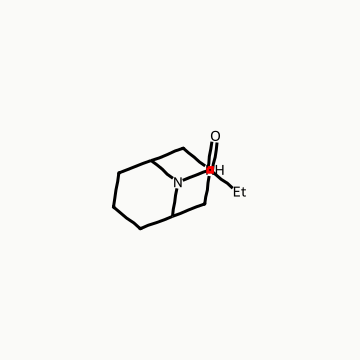 CCC(=O)N1C2CCCC1CNC2